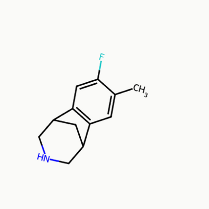 Cc1cc2c(cc1F)C1CNCC2C1